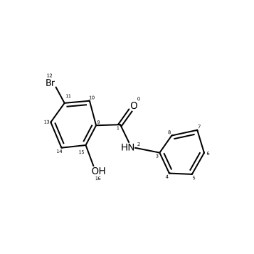 O=C(Nc1ccccc1)c1cc(Br)ccc1O